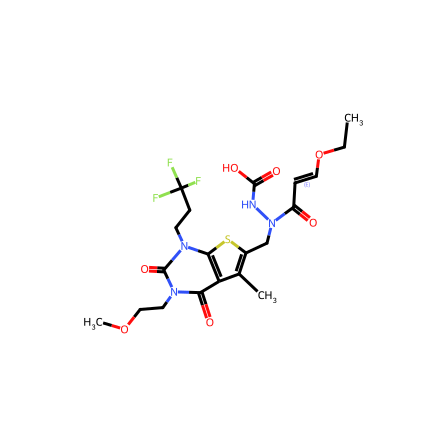 CCO/C=C/C(=O)N(Cc1sc2c(c1C)c(=O)n(CCOC)c(=O)n2CCC(F)(F)F)NC(=O)O